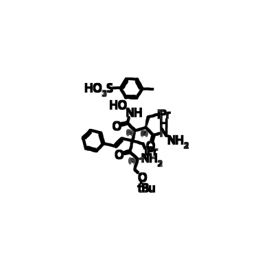 CC(C)C[C@@H](C(=O)NN)[C@H](C(=O)NO)C(C=Cc1ccccc1)(CC(C)C)C(=O)[C@H](N)COC(C)(C)C.Cc1ccc(S(=O)(=O)O)cc1